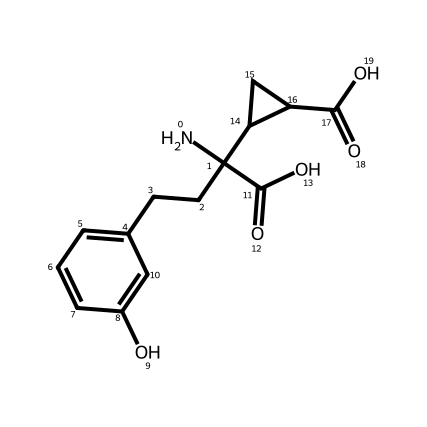 NC(CCc1cccc(O)c1)(C(=O)O)C1CC1C(=O)O